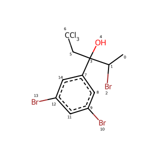 CC(Br)C(O)(CC(Cl)(Cl)Cl)c1cc(Br)cc(Br)c1